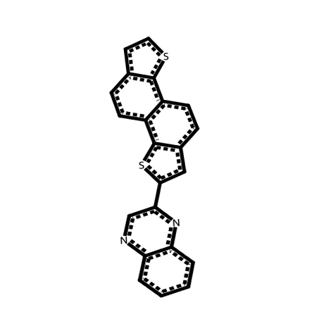 c1ccc2nc(-c3cc4ccc5c(ccc6ccsc65)c4s3)cnc2c1